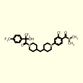 CN(C)C(=O)c1ccc(N2CCC(CC3CCN(C(=O)C(O)(c4ccc(C(F)(F)F)cc4)C(F)(F)F)CC3)CC2)cc1Cl